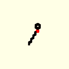 CC=CCCCC=COc1ccccc1